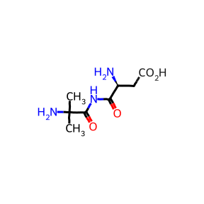 CC(C)(N)C(=O)NC(=O)[C@@H](N)CC(=O)O